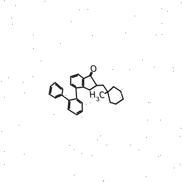 CC1(CC2Cc3c(cccc3-c3ccccc3-c3ccccc3)C2=O)CCCCC1